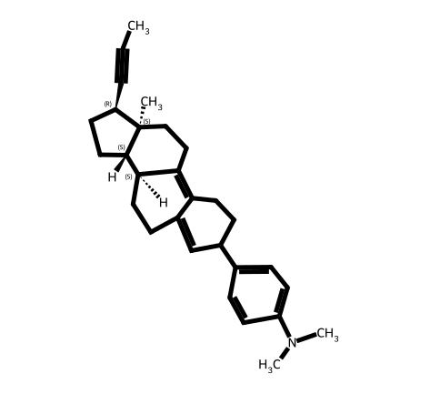 CC#C[C@@H]1CC[C@H]2[C@@H]3CCC4=CC(c5ccc(N(C)C)cc5)CCC4=C3CC[C@]12C